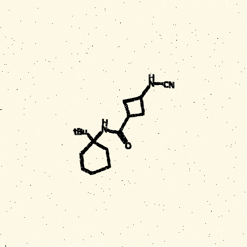 CC(C)(C)C1(NC(=O)C2CC(NC#N)C2)CCCCC1